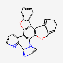 c1ccc2c(c1)oc1c2c2c3ccccc3oc2c2c1c1cccnc1c1nccn12